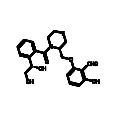 O=Cc1c(O)cccc1OC[C@@H]1CSCCN1C(=O)c1ccccc1[C@H](O)CO